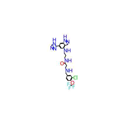 O=C(CCNCc1ccc(OC(F)(F)F)c(Cl)c1)NCCCNc1cc(-c2nnc[nH]2)cc2[nH]ncc12